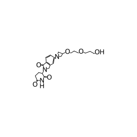 O=C1CCC(N2Cc3cc(N4CC(OCCCOCCCO)C4)ccc3C2=O)C(=O)N1